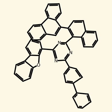 c1ccc(-c2ccc(-c3nc(-c4c(-c5cc6ccccc6c6ccccc56)ccc5ccccc45)nc(-c4cccc5c4oc4ccccc45)n3)cc2)cc1